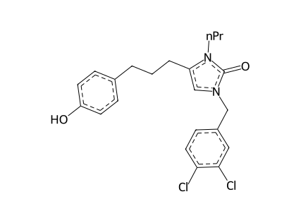 CCCn1c(CCCc2ccc(O)cc2)cn(Cc2ccc(Cl)c(Cl)c2)c1=O